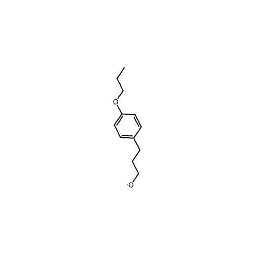 CCCOc1ccc(CCC[O])cc1